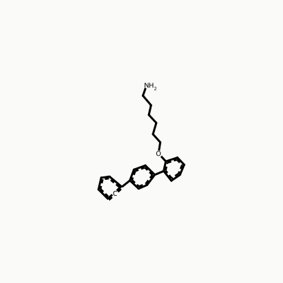 NCCCCCCOc1ccccc1-c1ccc(-c2ccccc2)cc1